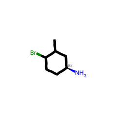 CC1C[C@@H](N)CCC1Br